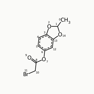 CC1Oc2ccc(OC(=O)CBr)cc2O1